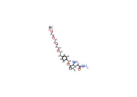 CC(=O)COCCOCCOCCOCCc1ccc(CO[C@H](C)[C@@H](N)CCC(N)=O)cc1